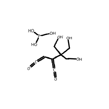 O=C=CC(=C=O)C(CO)(CO)CO.OP(O)O